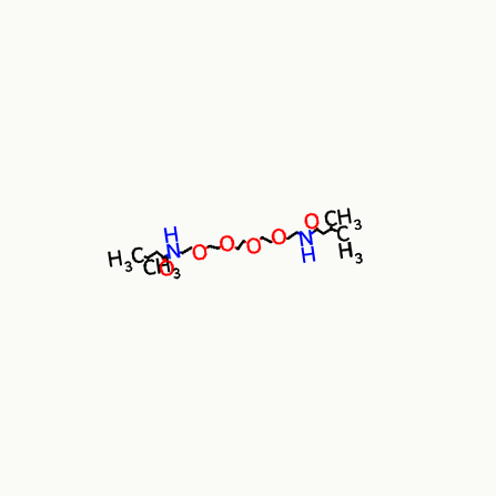 CC(C)CC(=O)NCCOCCOCCOCCOCCNC(=O)CC(C)C